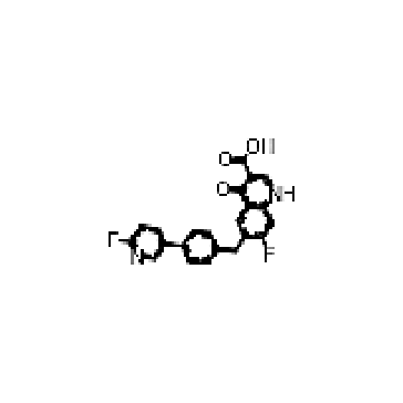 O=C(O)c1c[nH]c2cc(F)c(Cc3ccc(-c4ccc(F)nc4)cc3)cc2c1=O